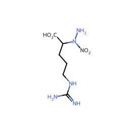 N=C(N)NCCCC(C(=O)O)N(N)[N+](=O)[O-]